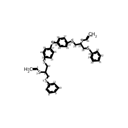 C=CSC(CSc1ccccc1)CSc1ccc(Sc2ccc(SCC(CSc3ccccc3)SC=C)cc2)cc1